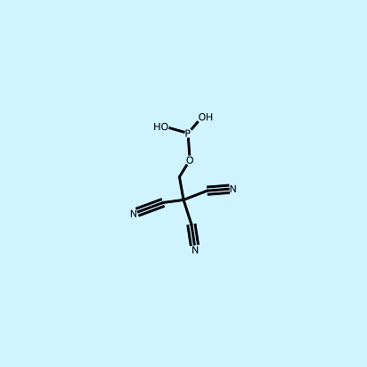 N#CC(C#N)(C#N)COP(O)O